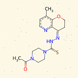 CC(=O)N1CCN(C(=S)N/N=C2/CCOc3c(C)ccnc32)CC1